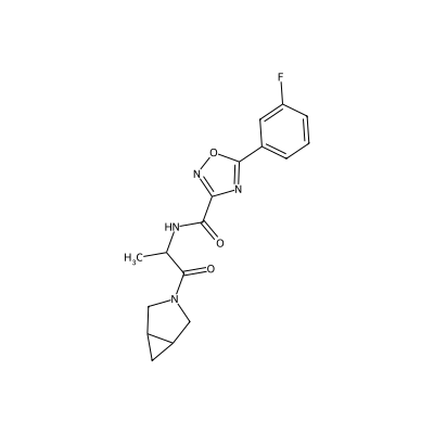 CC(NC(=O)c1noc(-c2cccc(F)c2)n1)C(=O)N1CC2CC2C1